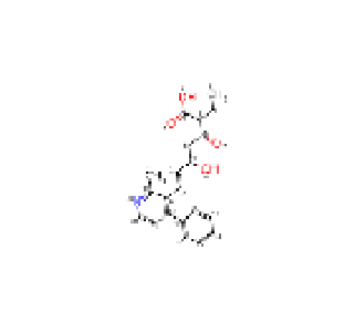 CCC(C(=O)O)C(=O)CC(O)C=Cc1c(-c2ccccc2)ccnc1C